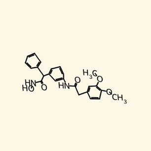 COc1ccc(CC(=O)Nc2cccc(C(C(=O)NO)c3ccccc3)c2)cc1OC